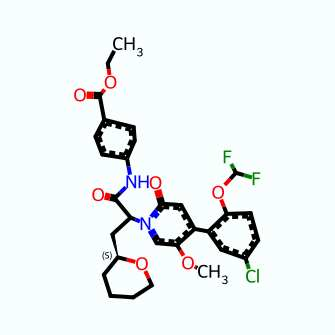 CCOC(=O)c1ccc(NC(=O)C(C[C@@H]2CCCCO2)n2cc(OC)c(-c3cc(Cl)ccc3OC(F)F)cc2=O)cc1